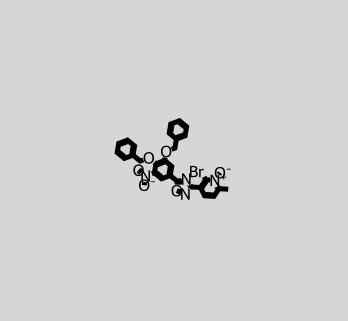 Cc1ccc(-c2noc(-c3cc(OCc4ccccc4)c(OCc4ccccc4)c([N+](=O)[O-])c3)n2)c(Br)[n+]1[O-]